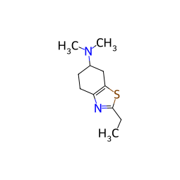 CCc1nc2c(s1)CC(N(C)C)CC2